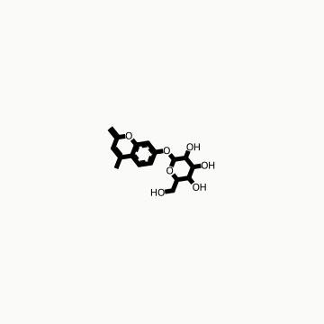 C=C1C=C(C)c2ccc(OC3OC(CO)C(O)C(O)C3O)cc2O1